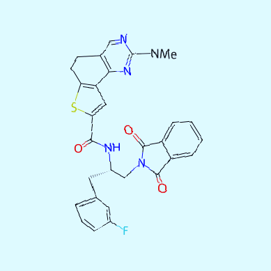 CNc1ncc2c(n1)-c1cc(C(=O)N[C@@H](Cc3cccc(F)c3)CN3C(=O)c4ccccc4C3=O)sc1CC2